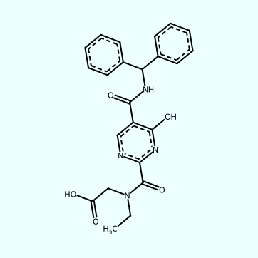 CCN(CC(=O)O)C(=O)c1ncc(C(=O)NC(c2ccccc2)c2ccccc2)c(O)n1